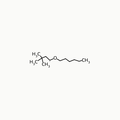 CCCCCCO[CH]CC(C)(C)C